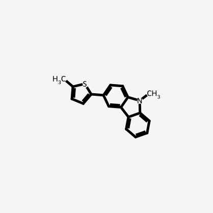 Cc1ccc(-c2ccc3c(c2)c2ccccc2n3C)s1